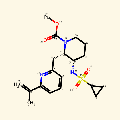 C=C(C)c1cccc(C[C@H]2[C@@H](NS(=O)(=O)C3CC3)CCCN2C(=O)OC(C)C)n1